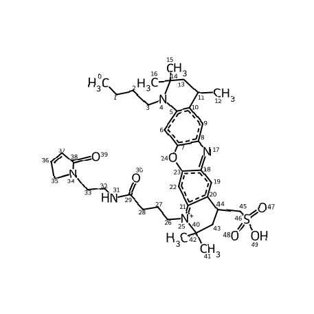 CCCCN1c2cc3c(cc2C(C)CC1(C)C)N=c1cc2c(cc1O3)=[N+](CCCC(=O)NCCN1CC=CC1=O)C(C)(C)CC2CS(=O)(=O)O